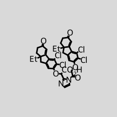 CCC12CCC(=O)C=C1c1c(cc(OCC(=O)n3ccnc3C(Oc3cc4c(c(Cl)c3Cl)C3=CC(=O)CCC3(CC)C4)C(=O)O)c(Cl)c1Cl)C2